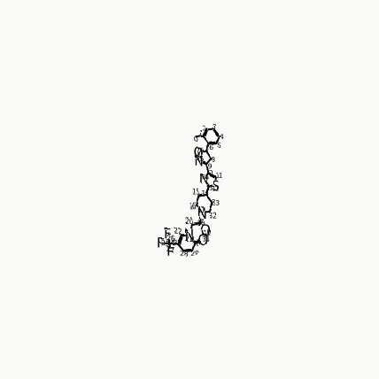 Cc1ccccc1C1CC(c2csc(C3CCN(C(=O)Cn4cc(C(F)(F)F)ccc4=O)CC3)n2)=NO1